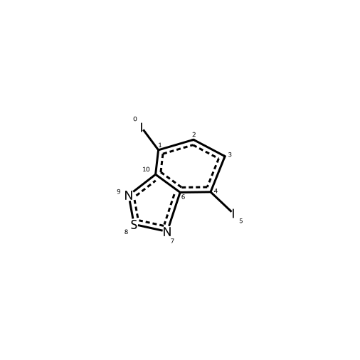 Ic1ccc(I)c2nsnc12